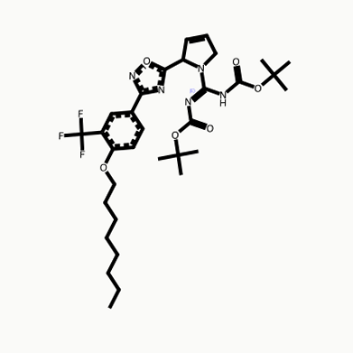 CCCCCCCCOc1ccc(-c2noc(C3C=CCN3/C(=N/C(=O)OC(C)(C)C)NC(=O)OC(C)(C)C)n2)cc1C(F)(F)F